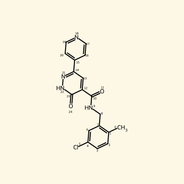 Cc1ccc(Cl)cc1CNC(=O)c1cc(-c2ccncc2)n[nH]c1=O